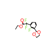 CCOC(=O)C(F)(F)c1cccc(C2OCCO2)c1F